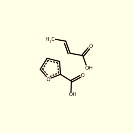 CC=CC(=O)O.O=C(O)c1ccco1